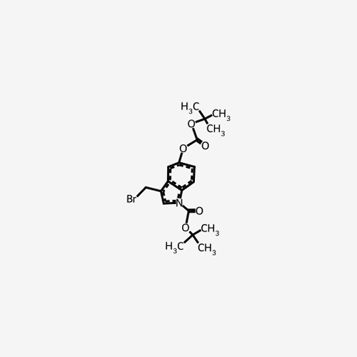 CC(C)(C)OC(=O)Oc1ccc2c(c1)c(CBr)cn2C(=O)OC(C)(C)C